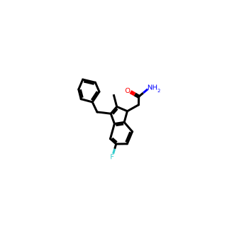 CC1=C(Cc2ccccc2)c2cc(F)ccc2C1CC(N)=O